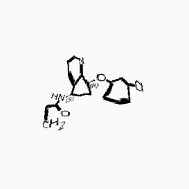 C=CC(=O)N[C@H]1CC[C@@H](Oc2cccc(Cl)c2)c2ncccc21